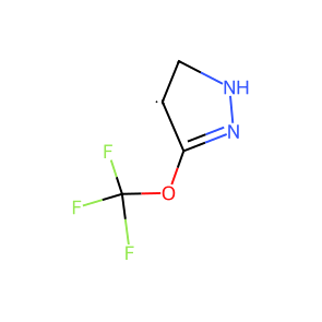 FC(F)(F)OC1=NNC[CH]1